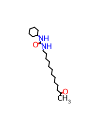 CC(=O)CCCCCCCCCCCNC(=O)NC1CCCCC1